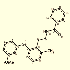 COc1cccc([Se]c2cccc(C)c2CCNC(=O)c2ccccn2)c1